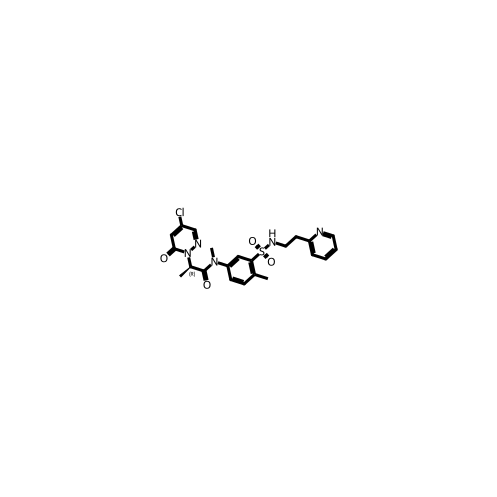 Cc1ccc(N(C)C(=O)[C@@H](C)n2ncc(Cl)cc2=O)cc1S(=O)(=O)NCCc1ccccn1